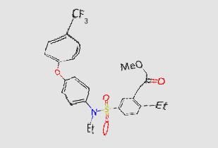 CCc1ccc(S(=O)(=O)N(CC)c2ccc(Oc3ccc(C(F)(F)F)cc3)cc2)cc1C(=O)OC